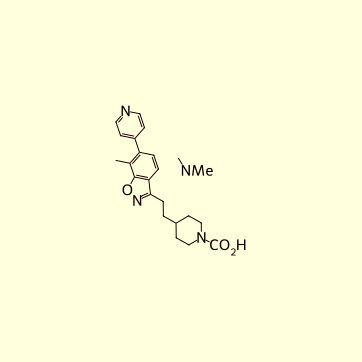 CNC.Cc1c(-c2ccncc2)ccc2c(CCC3CCN(C(=O)O)CC3)noc12